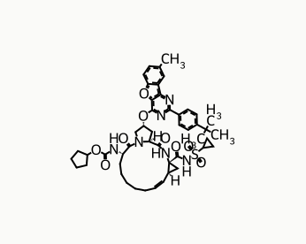 Cc1ccc2oc3c(O[C@@H]4C[C@H]5C(=O)N[C@]6(C(=O)NS(=O)(=O)C7CC7)C[C@H]6/C=C\CCCCC[C@H](NC(=O)OC6CCCC6)C(=O)N5C4)nc(-c4ccc(C(C)(C)C)cc4)nc3c2c1